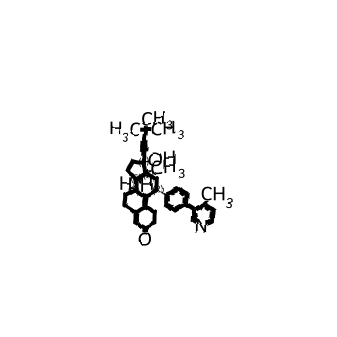 Cc1ccncc1-c1ccc([C@H]2C[C@@]3(C)[C@@H](CC[C@@]3(O)C#CC(C)(C)C)[C@@H]3CCC4=CC(=O)CCC4=C32)cc1